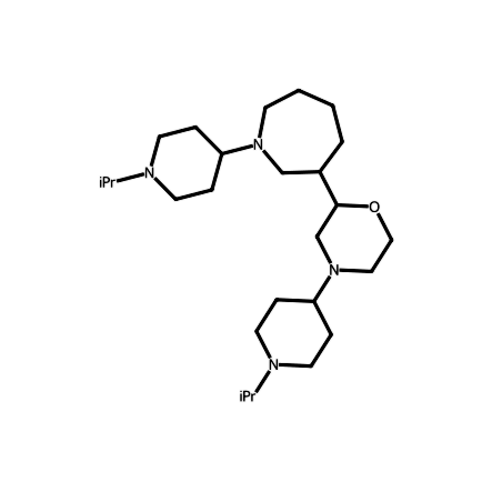 CC(C)N1CCC(N2CCCCC(C3CN(C4CCN(C(C)C)CC4)CCO3)C2)CC1